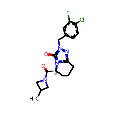 CC1CN(C(=O)[C@@H]2CCCc3nn(Cc4ccc(Cl)c(F)c4)c(=O)n32)C1